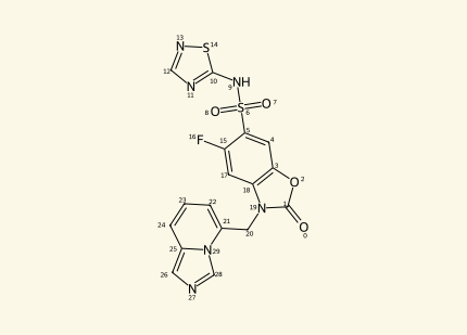 O=c1oc2cc(S(=O)(=O)Nc3ncns3)c(F)cc2n1Cc1cccc2cncn12